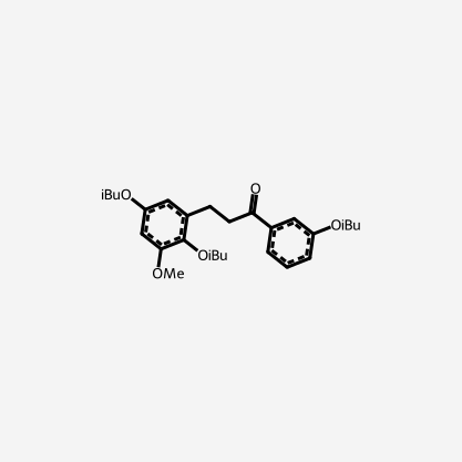 COc1cc(OCC(C)C)cc(CCC(=O)c2cccc(OCC(C)C)c2)c1OCC(C)C